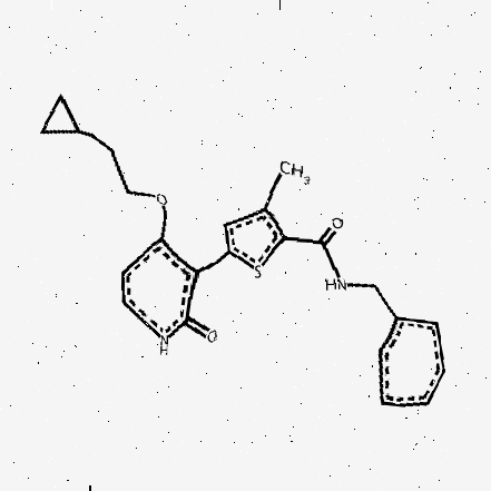 Cc1cc(-c2c(OCCC3CC3)cc[nH]c2=O)sc1C(=O)NCc1ccccc1